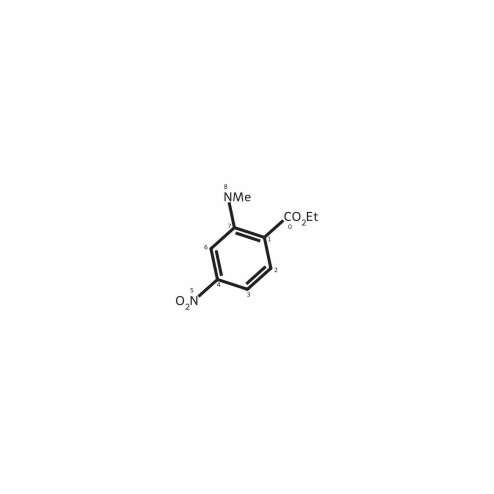 CCOC(=O)c1ccc([N+](=O)[O-])cc1NC